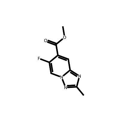 COC(=O)c1cc2nc(C)nn2cc1F